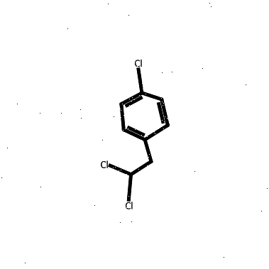 Clc1ccc(CC(Cl)Cl)cc1